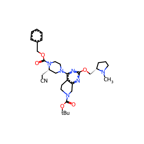 CN1CCC[C@H]1COc1nc2c(c(N3CCN(C(=O)OCc4ccccc4)[C@@H](CC#N)C3)n1)CCN(C(=O)OC(C)(C)C)C2